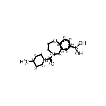 CC1CCN(C(=O)N2CCOc3ccc(B(O)O)cc3C2)CC1